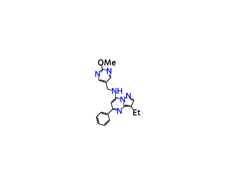 CCc1cnn2c(NCc3cnc(OC)nc3)cc(-c3ccccc3)nc12